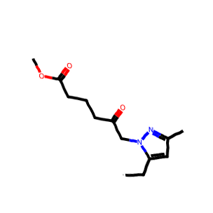 [CH2]Cc1cc(C)nn1CC(=O)CCCC(=O)OC